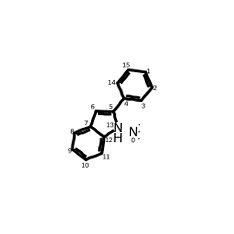 [N].c1ccc(-c2cc3ccccc3[nH]2)cc1